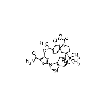 C[C@@H](Oc1cc(-n2cnc3ccc(C4(C(C)(C)C)CCN(C(=O)O)CC4)cc32)sc1C(N)=O)c1ccccc1Cl